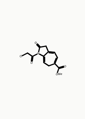 COC(=O)C1=CC=C2CC(=O)N(C(=O)CCl)C2=CC1